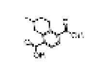 CC1CCc2c(C(=O)O)ccc(C(=O)O)c2C1